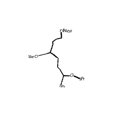 [CH2]CCCCCCCCCCC(CCC(CCC)OC(C)C)OC